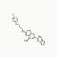 N=c1cc(-c2cc3cccn3cn2)oc2ccc(OCCCOc3ccc(F)cc3)cc12